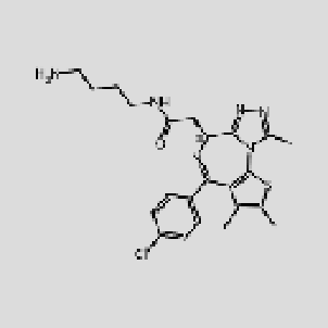 Cc1sc2c(c1C)C(c1ccc(Cl)cc1)=N[C@@H](CC(=O)NCCCCN)c1nnc(C)n1-2